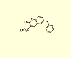 CCOC(=O)c1cc2cc(Cc3ccccc3)ccc2oc1=O